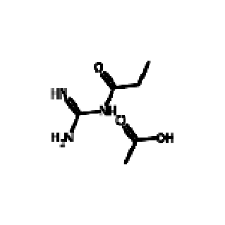 CC(=O)O.CCC(=O)NC(=N)N